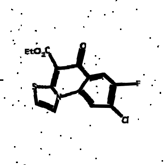 CCOC(=O)c1c(=O)c2cc(F)c(Cl)cc2n2ccsc12